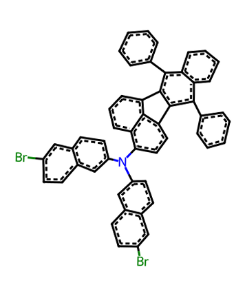 Brc1ccc2cc(N(c3ccc4cc(Br)ccc4c3)c3ccc4c5c(cccc35)-c3c-4c(-c4ccccc4)c4ccccc4c3-c3ccccc3)ccc2c1